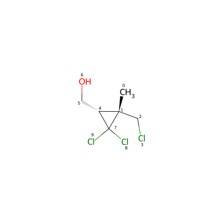 C[C@]1(CCl)[C@@H](CO)C1(Cl)Cl